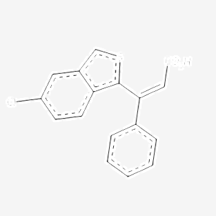 O=C(O)/C=C(/c1ccccc1)c1scc2cc(Cl)ccc12